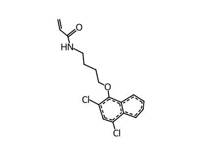 C=CC(=O)NCCCCOc1c(Cl)cc(Cl)c2ccccc12